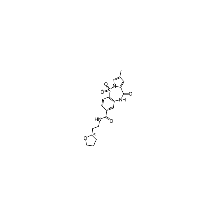 Cc1cc2n(c1)S(=O)(=O)c1ccc(C(=O)NCC[C@H]3CCCO3)cc1NC2=O